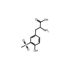 CS(=O)(=O)c1cc(CC(N)C(=O)O)ccc1O